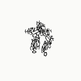 C[SiH](O[C@H]1[C@@H](OP(=S)(OCCC#N)OC[C@H]2O[C@@H](n3cnc4c(NC(=O)c5ccccc5)ncnc43)[C@H](F)[C@@H]2O[PH](=O)O)[C@H](n2cnc3c(NC(=O)c4ccccc4)ncnc32)O[C@@H]1CO)C(C)(C)C